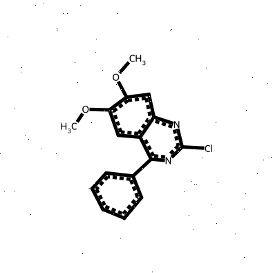 COc1cc2nc(Cl)nc(-c3c[c]ccc3)c2cc1OC